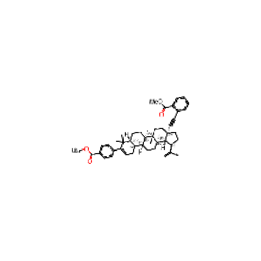 C=C(C)[C@@H]1CC[C@]2(C#Cc3ccccc3C(=O)OC)CC[C@@]3(C)[C@]4(C)CC[C@H]5C(C)(C)C(c6ccc(C(=O)OC(C)(C)C)cc6)=CC[C@]5(C)[C@H]4CC[C@]3(C)[C@@H]12